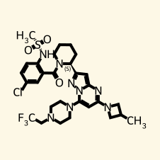 CC1CN(c2cc(N3CCN(CC(F)(F)F)CC3)n3nc([C@@H]4CCCCN4C(=O)c4cc(Cl)ccc4NS(C)(=O)=O)cc3n2)C1